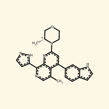 Cc1cnc(-c2ccn[nH]2)c2nc(N3CCOC[C@H]3C)cc(-c3ccc4cc[nH]c4c3)c12